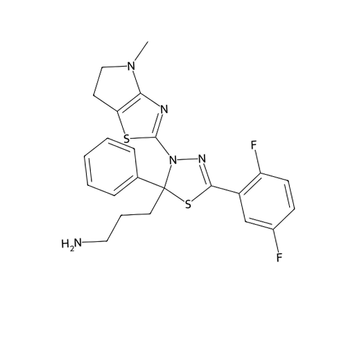 CN1CCc2sc(N3N=C(c4cc(F)ccc4F)SC3(CCCN)c3ccccc3)nc21